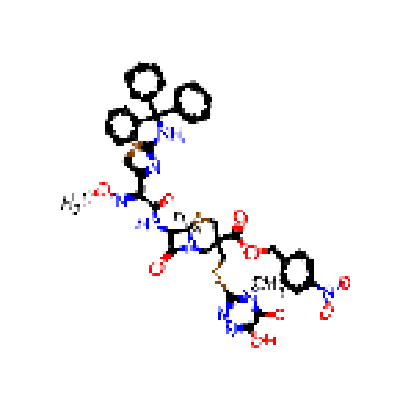 CON=C(C(=O)NC1C(=O)N2CC(CSc3nnc(O)c(=O)n3C)(C(=O)OCc3ccc([N+](=O)[O-])cc3)CS[C@H]12)c1csc(NC(c2ccccc2)(c2ccccc2)c2ccccc2)n1